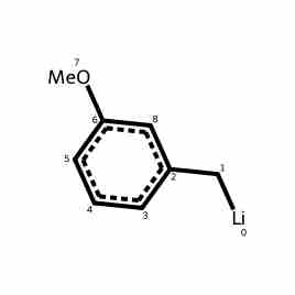 [Li][CH2]c1cccc(OC)c1